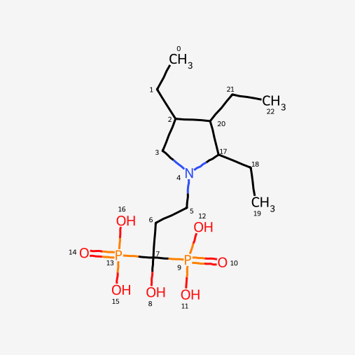 CCC1CN(CCC(O)(P(=O)(O)O)P(=O)(O)O)C(CC)C1CC